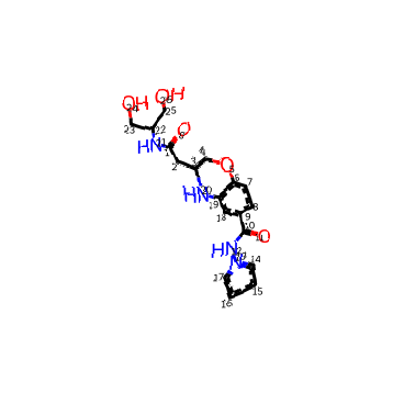 O=C(CC1COc2ccc(C(=O)Nn3cccc3)cc2N1)NC(CO)CO